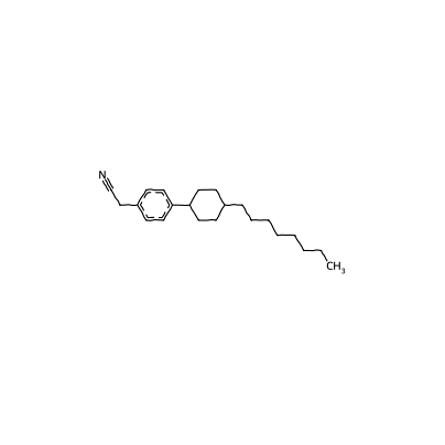 CCCCCCCCC1CCC(c2ccc(CC#N)cc2)CC1